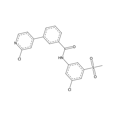 CS(=O)(=O)c1cc(Cl)cc(NC(=O)c2cccc(-c3ccnc(Cl)c3)c2)c1